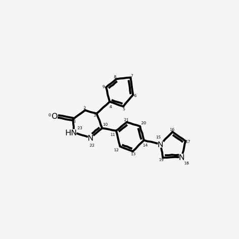 O=C1CC(c2ccccc2)C(c2ccc(-n3ccnc3)cc2)=NN1